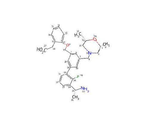 C[C@@H]1CN(Cc2cc(COc3ccccc3CC(=O)O)cc(-c3cccc([C@@H](C)N)c3F)c2)C[C@H](C)O1